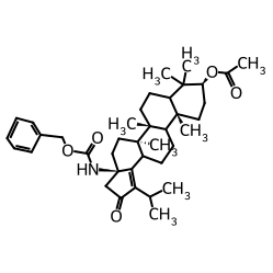 CC(=O)O[C@H]1CC[C@@]2(C)C(CC[C@]3(C)C2CCC2C4=C(C(C)C)C(=O)C[C@]4(NC(=O)OCc4ccccc4)CC[C@]23C)C1(C)C